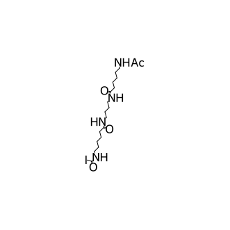 CC(=O)NCCCCCC(=O)NCCCCNC(=O)CCCCCNC(=O)I